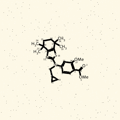 COC(=O)c1ccc(N(CC2CC2)c2nc3c(s2)C(C)(C)CCC3(C)C)cc1OC